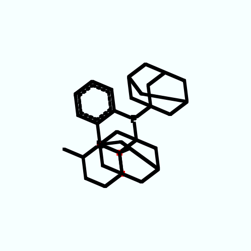 CC1CCCC(C)N1c1ccccc1P(C12CC3CC(CC(C3)C1)C2)C12CC3CC(CC(C3)C1)C2